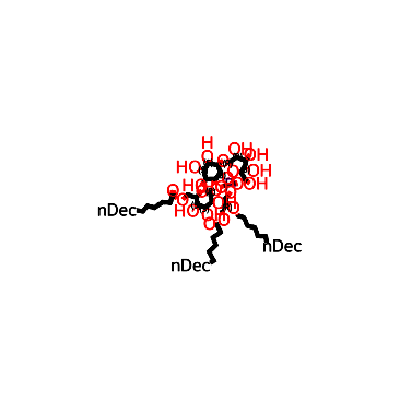 CCCCCCCCCCCCCCCCO[C@H](COC(=O)CCCCCCCCCCCCCCC)COP(=O)(O)O[C@@H]1C(O[C@H]2OC(COC(=O)CCCCCCCCCCCCCCC)[C@@H](O)[C@H](O)C2O)C(O)[C@@H](O)[C@H](O)C1O[C@H]1OC(CO)[C@@H](O)C(O)[C@H]1O